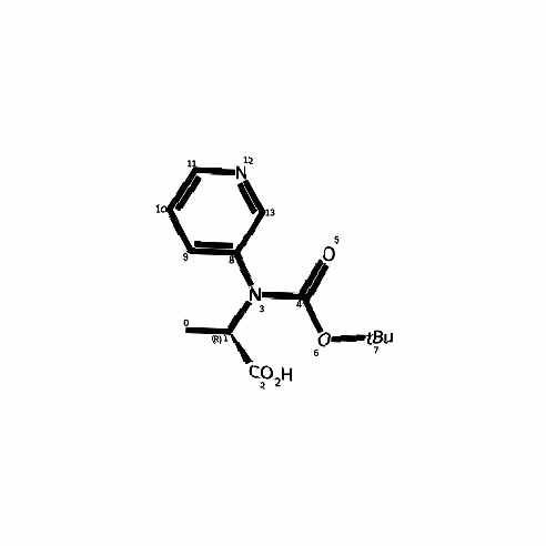 C[C@H](C(=O)O)N(C(=O)OC(C)(C)C)c1cccnc1